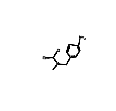 CCC(CC)N(C)Cc1ccc(N)cc1